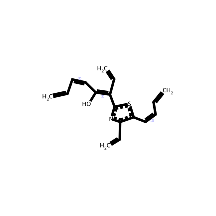 C=C/C=C\C(O)=C(/C=C)c1nc(C=C)c(/C=C\C=C)s1